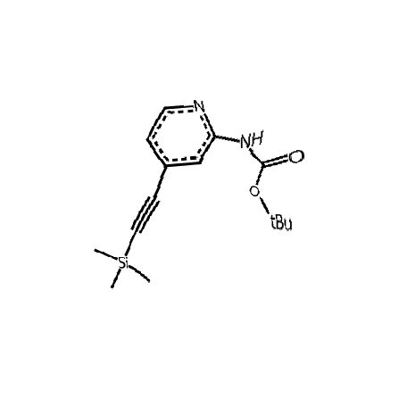 CC(C)(C)OC(=O)Nc1cc(C#C[Si](C)(C)C)ccn1